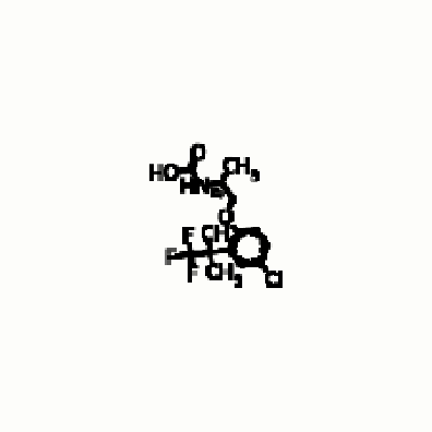 C[C@@H](COc1ccc(Cl)cc1C(C)(C)C(F)(F)F)NC(=O)O